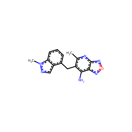 Cc1nc2nonc2c(N)c1Cc1cccc2c1cnn2C